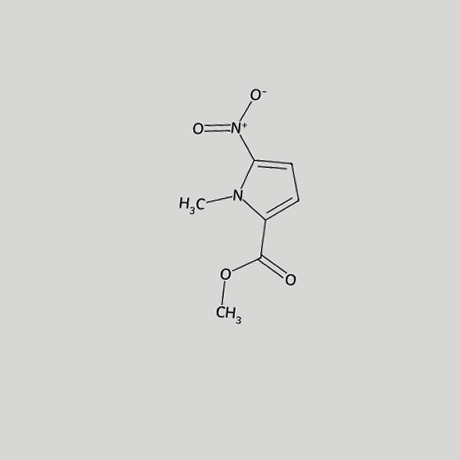 COC(=O)c1ccc([N+](=O)[O-])n1C